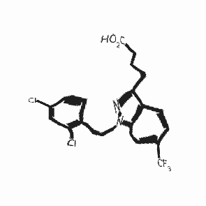 O=C(O)CCCc1nn(Cc2ccc(Cl)cc2Cl)c2cc(C(F)(F)F)ccc12